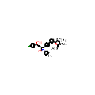 CC(=O)OCC1OC(c2cccc(-c3ccc([C@@H]4[C@@H](CC[C@H](O)c5ccc(F)cc5)C(=O)N4c4ccc(C#N)cc4)cc3)c2)C(OC(C)=O)C(OC(C)=O)C1OC(C)=O